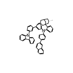 C[C@H]1CC2C[C@H](C)CC(c3ccccc3N(c3ccc(-c4ccc5ccccc5c4)cc3)c3cccc(-c4cccc(-n5c6ccccc6c6ccccc65)c4)c3)(C2)C1